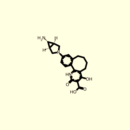 N[C@@H]1[C@H]2CN(c3ccc4c(c3)CCCCc3c-4[nH]c(=O)c(C(=O)O)c3O)C[C@@H]12